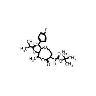 CC(C)C(=O)OC1C(C)OC(=O)C(NC(=O)OC(C)(C)C)CCOC1Cc1ccc(F)cc1